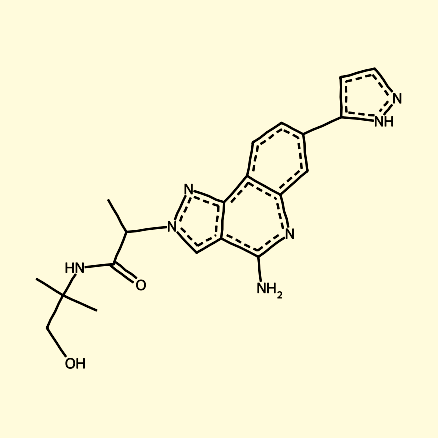 CC(C(=O)NC(C)(C)CO)n1cc2c(N)nc3cc(-c4ccn[nH]4)ccc3c2n1